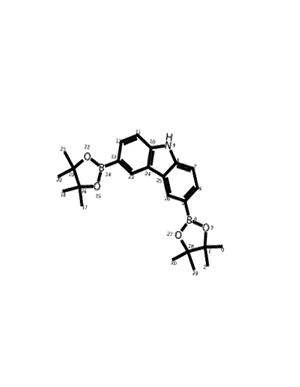 CC1(C)OB(c2ccc3[nH]c4ccc(B5OC(C)(C)C(C)(C)O5)cc4c3c2)OC1(C)C